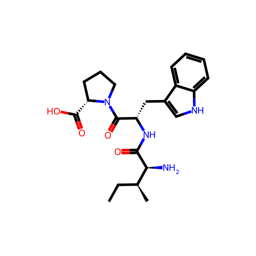 CC[C@H](C)[C@H](N)C(=O)N[C@@H](Cc1c[nH]c2ccccc12)C(=O)N1CCC[C@H]1C(=O)O